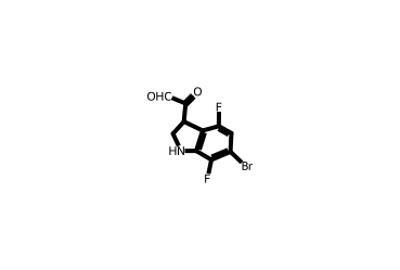 O=CC(=O)C1CNc2c(F)c(Br)cc(F)c21